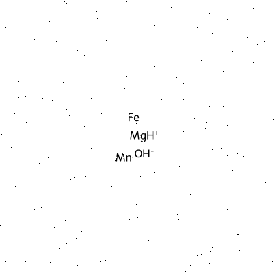 [Fe].[MgH+].[Mn].[OH-]